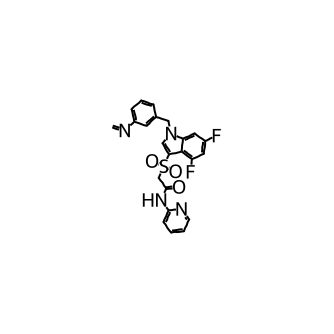 C=Nc1cccc(Cn2cc(S(=O)(=O)CC(=O)Nc3ccccn3)c3c(F)cc(F)cc32)c1